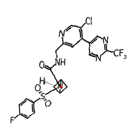 O=C(NCc1cc(-c2cnc(C(F)(F)F)nc2)c(Cl)cn1)[C@@H]1C2CC(C2)N1S(=O)(=O)c1ccc(F)cc1